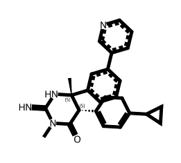 CN1C(=N)N[C@](C)(c2cccc(-c3cccnc3)c2)[C@H](C2=CC=C(C3CC3)CC2)C1=O